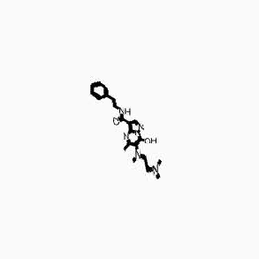 Cc1nc2c(C(=O)NCCc3ccccc3)cnn2c(O)c1N(C)CCN(C)C